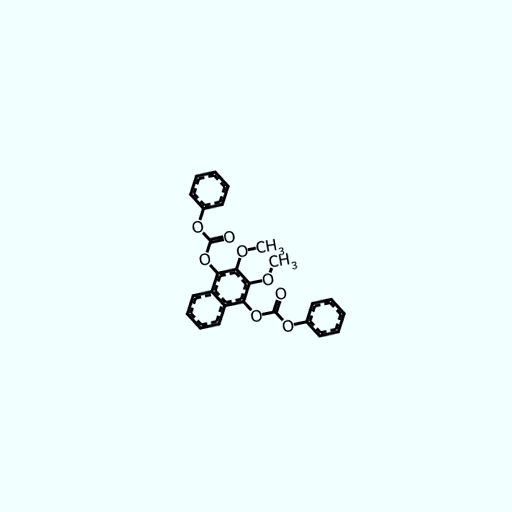 COc1c(OC)c(OC(=O)Oc2ccccc2)c2ccccc2c1OC(=O)Oc1ccccc1